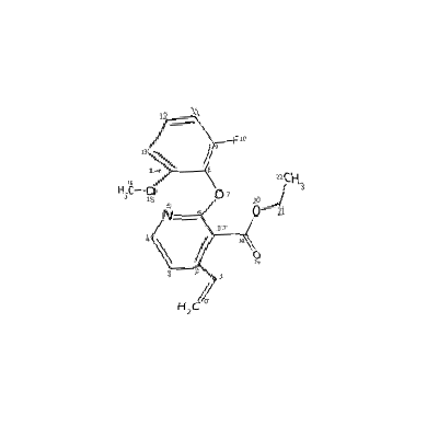 C=Cc1ccnc(Oc2c(F)cccc2OC)c1C(=O)OCC